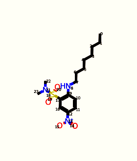 CCCCCCCCNc1ccc([N+](=O)[O-])cc1S(=O)(=O)N(C)C